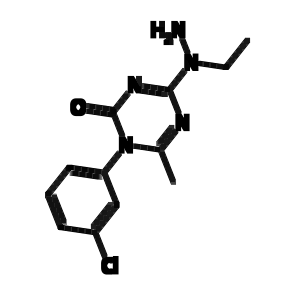 CCN(N)c1nc(C)n(-c2cccc(Cl)c2)c(=O)n1